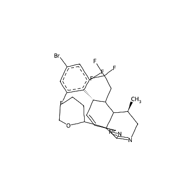 C[C@H]1CN=C2N=NC(C3CCCCO3)C23C=C[C@H](c2c(F)cc(Br)cc2F)C(CC(F)(F)F)C13